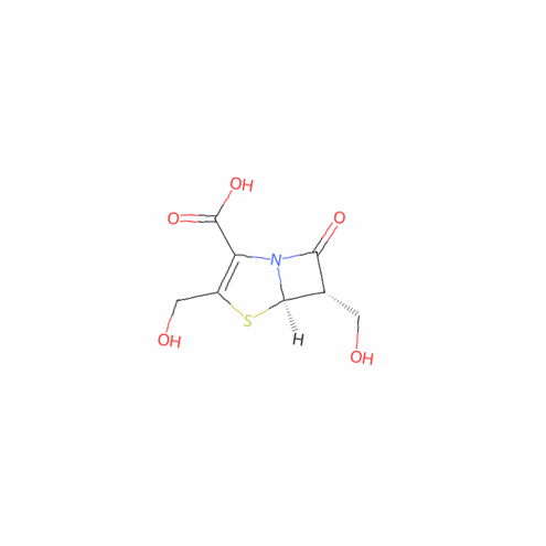 O=C(O)C1=C(CO)S[C@@H]2[C@@H](CO)C(=O)N12